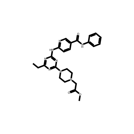 CCc1nc(Nc2ccc(C(=O)Nc3ccccc3)cn2)nc(N2CCN(CC(=O)OC)CC2)n1